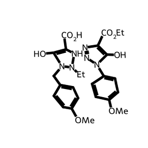 CCN1NC(C(=O)O)=C(O)N1Cc1ccc(OC)cc1.CCOC(=O)c1nnn(-c2ccc(OC)cc2)c1O